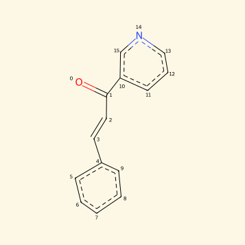 O=C(C=Cc1ccccc1)c1cccnc1